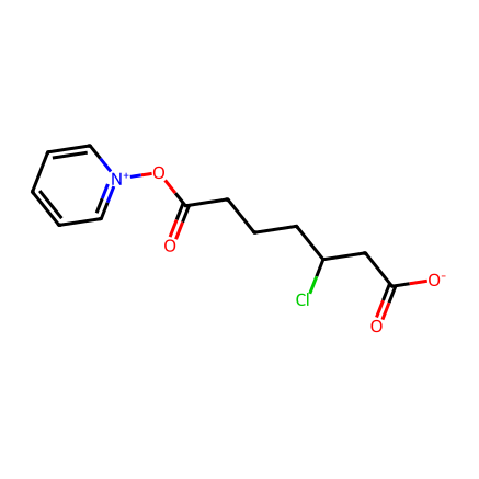 O=C([O-])CC(Cl)CCCC(=O)O[n+]1ccccc1